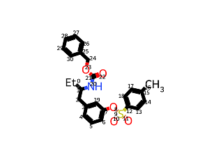 CCC(Cc1cccc(OS(=O)(=O)c2ccc(C)cc2)c1)NC(=O)OCc1ccccc1